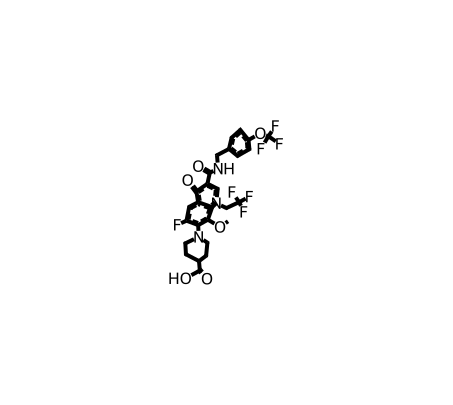 COc1c(N2CCC(C(=O)O)CC2)c(F)cc2c(=O)c(C(=O)NCc3ccc(OC(F)(F)F)cc3)cn(CC(F)(F)F)c12